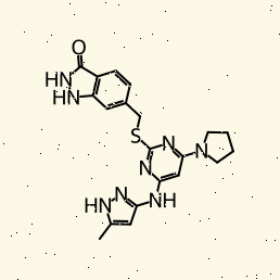 Cc1cc(Nc2cc(N3CCCC3)nc(SCc3ccc4c(=O)[nH][nH]c4c3)n2)n[nH]1